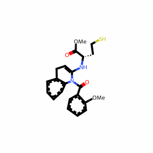 COC(=O)[C@H](CCS)NC1=CCc2ccccc2N1C(=O)c1ccccc1OC